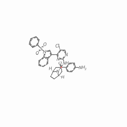 Nc1ccc(C(=O)N2[C@@H]3CC[C@H]2C[C@@H](Nc2ncc(Cl)c(-c4cn(S(=O)(=O)c5ccccc5)c5ccccc45)n2)C3)cc1